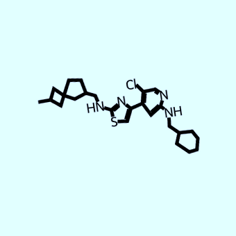 CC1CC2(CCC(CNc3nc(-c4cc(NCC5CCCCC5)ncc4Cl)cs3)C2)C1